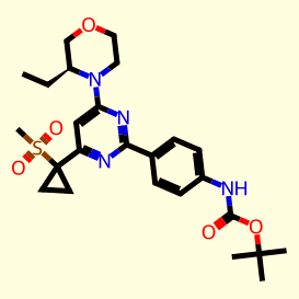 CC[C@H]1COCCN1c1cc(C2(S(C)(=O)=O)CC2)nc(-c2ccc(NC(=O)OC(C)(C)C)cc2)n1